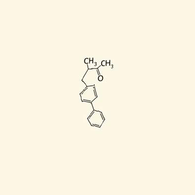 CC(=O)C(C)Cc1ccc(-c2ccccc2)cc1